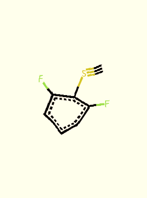 C#Sc1c(F)cccc1F